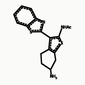 CC(=O)Nc1sc2c(c1-c1nc3ccccc3s1)CCC(N)C2